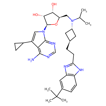 CC(C)N(C[C@H]1O[C@@H](n2cc(C3CC3)c3c(N)ncnc32)[C@H](O)[C@@H]1O)[C@H]1C[C@H](CCc2nc3cc(C(C)(C)C)ccc3[nH]2)C1